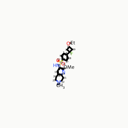 CCO[C@H]1C[C@@](F)(c2ccc(S(=O)(=O)Nc3cc4c(nc3OC)CCN(C)CC4)cc2)C1